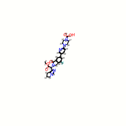 CCOC(=O)C(c1ncn2c1CCC2)N1Cc2c(F)cc(-c3ccc(N4CCN(C(=O)O)CC4)nc3)cc2C1=O